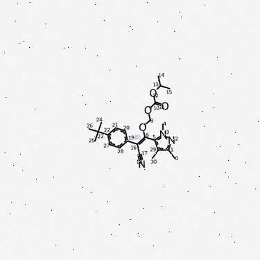 Cc1nn(C)c(/C(OCOC(=O)OC(C)C)=C(\C#N)c2ccc(C(C)(C)C)cc2)c1C